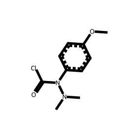 COc1ccc(N(C(=O)Cl)N(C)C)cc1